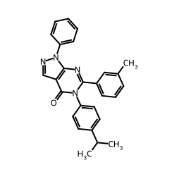 Cc1cccc(-c2nc3c(cnn3-c3ccccc3)c(=O)n2-c2ccc(C(C)C)cc2)c1